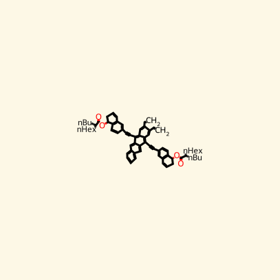 C=Cc1cc2c(C#Cc3ccc4c(c3)C=CCC4OC(=O)C(CCCC)CCCCCC)c3cc4ccccc4cc3c(C#Cc3ccc4c(c3)C=CCC4OC(=O)C(CCCC)CCCCCC)c2cc1C=C